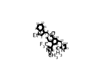 CCn1cc(CN2CCc3c(cc(Cn4ccnc4C)cc3-c3cn(C)nc3C(F)(F)F)C2=O)c2ccccc21